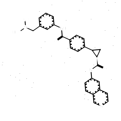 CN(C)Cc1cccc(NC(=O)c2ccc(C3C[C@H]3C(=O)Nc3ccc4cnccc4c3)cc2)c1